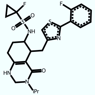 CC(C)N1CNC2=C(C1=O)C(Cc1csc(-c3ccccc3F)n1)C(NS(=O)(=O)C1(F)CC1)CC2